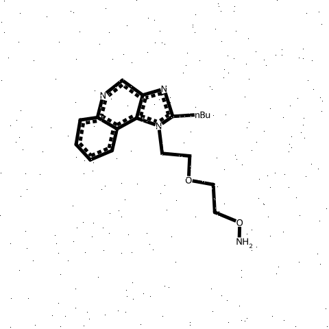 CCCCc1nc2cnc3ccccc3c2n1CCOCCON